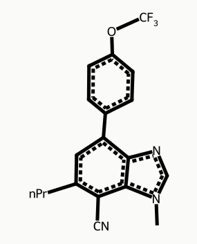 CCCc1cc(-c2ccc(OC(F)(F)F)cc2)c2ncn(C)c2c1C#N